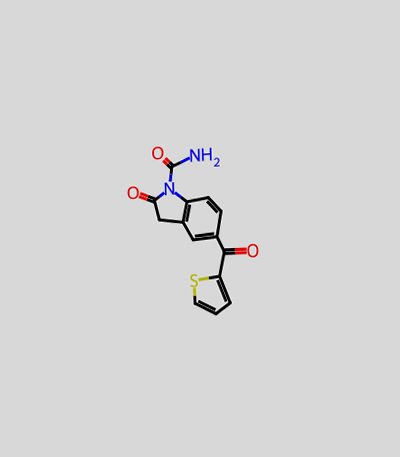 NC(=O)N1C(=O)Cc2cc(C(=O)c3cccs3)ccc21